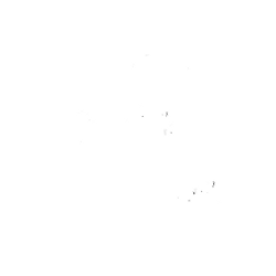 CCCCC/C=C\C/C=C\CCCCCCCCC1(CCCCCCCC/C=C\C/C=C\CCCCC)OC[C@H](CN(C)CC(=O)NCCOCCOCCO[C@H](OC(C)CO)C(NC(C)=O)[C@H](O)N=O)O1